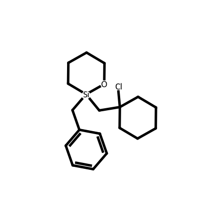 ClC1(C[Si]2(Cc3ccccc3)CCCCO2)CCCCC1